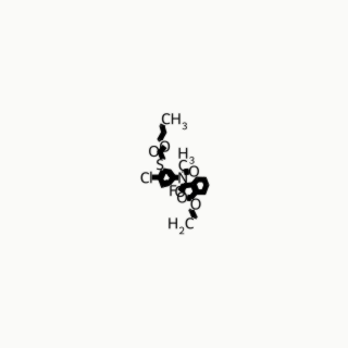 C=CCOC(=O)C1=C(C(=O)N(C(C)=O)c2cc(SCC(=O)OCCCC)c(Cl)cc2F)CCCC1